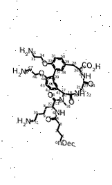 CCCCCCCCCCCCCC(=O)N[C@@H](CCCCN)C(=O)N(C)[C@@H]1C(=O)N[C@@H](C)C(=O)N[C@H](C(=O)O)Cc2ccc(OCCN)c(c2)-c2cc1ccc2OCCN